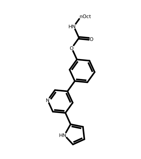 CCCCCCCCNC(=O)Oc1cccc(-c2cncc(-c3ccc[nH]3)c2)c1